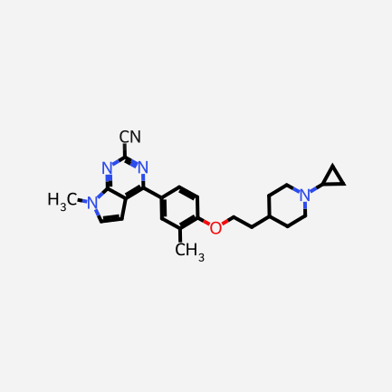 Cc1cc(-c2nc(C#N)nc3c2ccn3C)ccc1OCCC1CCN(C2CC2)CC1